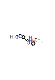 COc1ccccc1NC(=O)/C=C/c1ccc2c(c1)CN(C)CC2